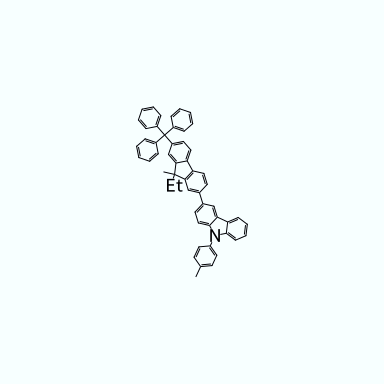 CCC1(C)c2cc(-c3ccc4c(c3)c3ccccc3n4-c3ccc(C)cc3)ccc2-c2ccc(C(c3ccccc3)(c3ccccc3)c3ccccc3)cc21